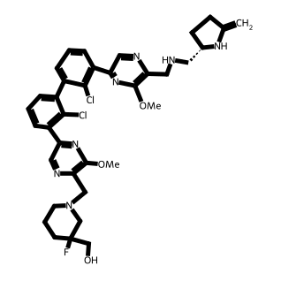 C=C1CC[C@@H](CNCc2ncc(-c3cccc(-c4cccc(-c5cnc(CN6CCCC(F)(CO)C6)c(OC)n5)c4Cl)c3Cl)nc2OC)N1